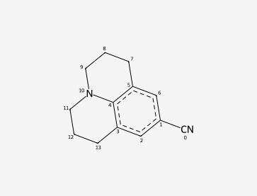 N#Cc1cc2c3c(c1)CCCN3CCC2